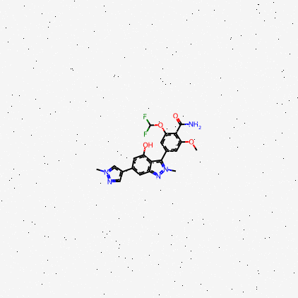 COc1cc(-c2c3c(O)cc(-c4cnn(C)c4)cc3nn2C)cc(OC(F)F)c1C(N)=O